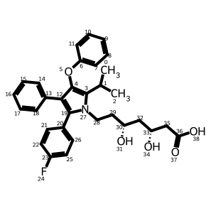 CC(C)c1c(Oc2ccccc2)c(-c2ccccc2)c(-c2ccc(F)cc2)n1CC[C@@H](O)C[C@@H](O)CC(=O)O